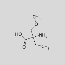 CCC(N)(COC)C(=O)O